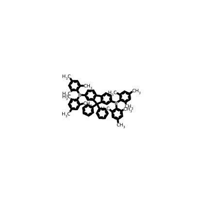 Cc1cc(C)c(B(c2ccc3c(c2)C(c2ccccc2)(c2ccccc2)c2cc(B(c4c(C)cc(C)cc4C)c4c(C)cc(C)cc4C)ccc2-3)c2c(C)cc(C)cc2C)c(C)c1